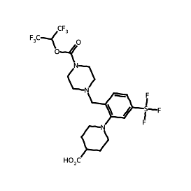 O=C(O)C1CCN(c2cc(S(F)(F)F)ccc2CN2CCN(C(=O)OC(C(F)(F)F)C(F)(F)F)CC2)CC1